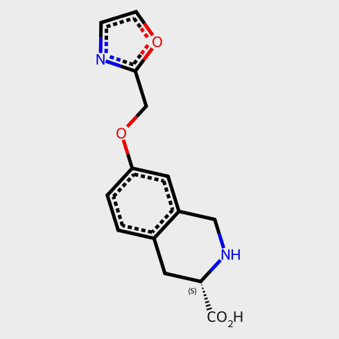 O=C(O)[C@@H]1Cc2ccc(OCc3ncco3)cc2CN1